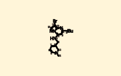 CCC(C)c1cc(NCC2=CC=CN(C)C2)n2ncc(Br)c2n1